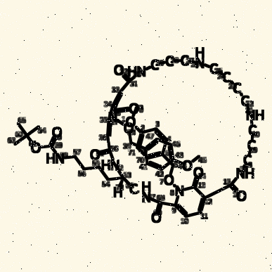 COc1ccc(COn2c3ccc(c2=O)C(=O)NCCCNCCCCNCCCNC(=O)c2ccc(n(OCc4ccc(OC)cc4)c2=O)C(=O)N[C@@H](CCCCNC(=O)OC(C)(C)C)CNC3=O)cc1